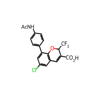 CC(=O)Nc1ccc(-c2cc(Cl)cc3c2OC(C(F)(F)F)C(C(=O)O)=C3)cc1